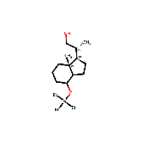 CC[Si](CC)(CC)OC1CCC[C@@]2(C)C1CC[C@@H]2[C@@H](C)CO